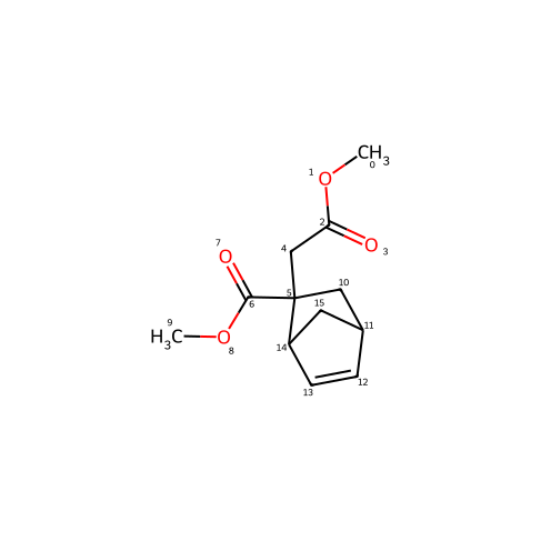 COC(=O)CC1(C(=O)OC)CC2C=CC1C2